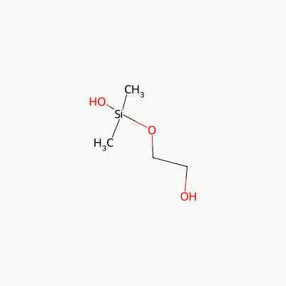 C[Si](C)(O)OCCO